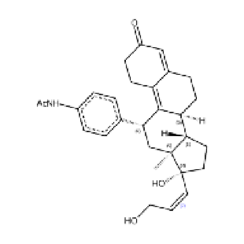 CC(=O)Nc1ccc([C@H]2C[C@@]3(C)[C@@H](CC[C@@]3(O)/C=C\CO)[C@@H]3CCC4=CC(=O)CCC4=C32)cc1